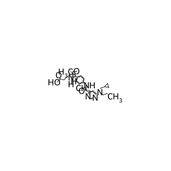 CCCN(CC1CC1)c1cc(C(=O)Nc2ccc([SH](C)(=O)NCCC(=O)O)cc2C)ncn1